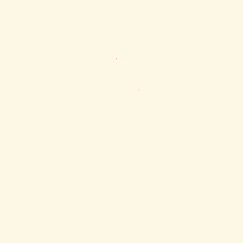 CCc1ccc(COC(C)=O)o1